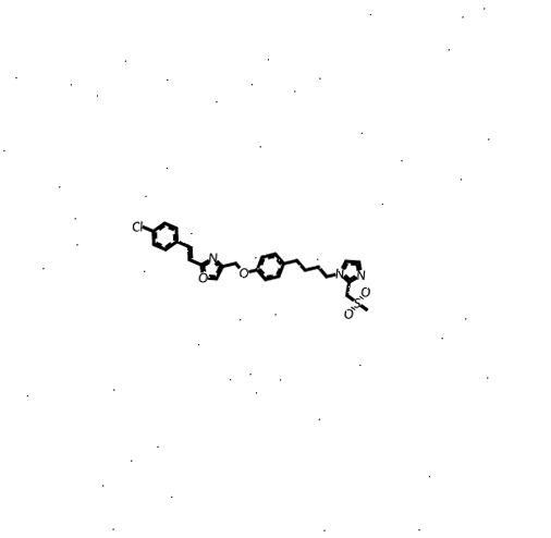 CS(=O)(=O)Cc1nccn1CCCCc1ccc(OCc2coc(C=Cc3ccc(Cl)cc3)n2)cc1